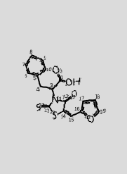 O=C(O)C(Cc1ccccc1)N1C(=O)/C(=C\c2ccco2)SC1=S